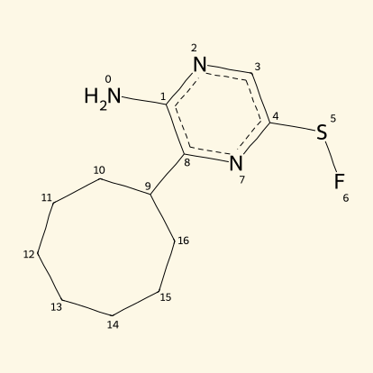 Nc1ncc(SF)nc1C1CCCCCCC1